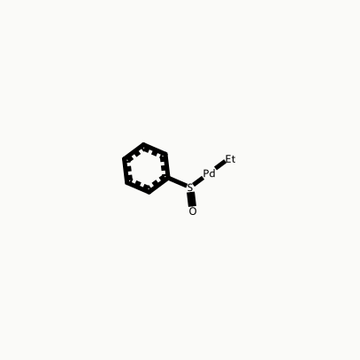 C[CH2][Pd][S](=O)c1ccccc1